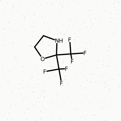 FC(F)(F)C1(C(F)(F)F)NCCO1